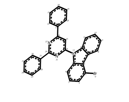 Brc1cccc2c1c1ccccc1n2-c1cc(-c2ccccc2)nc(-c2ccccc2)n1